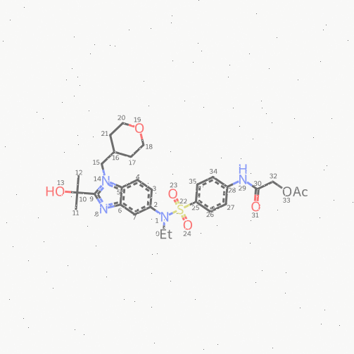 CCN(c1ccc2c(c1)nc(C(C)(C)O)n2CC1CCOCC1)S(=O)(=O)c1ccc(NC(=O)COC(C)=O)cc1